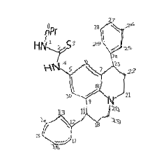 CCCNC(=S)Nc1cc2c3c(c1)C(c1ccccc1)CCN3CCC2c1ccccc1